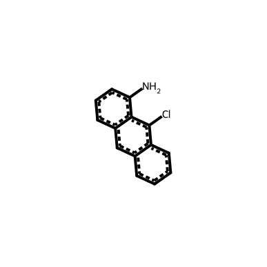 Nc1cccc2cc3ccccc3c(Cl)c12